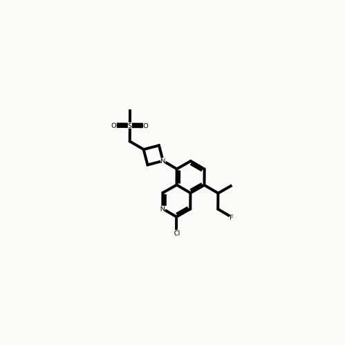 CC(CF)c1ccc(N2CC(CS(C)(=O)=O)C2)c2cnc(Cl)cc12